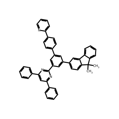 CC1(C)c2ccccc2-c2cc(-c3cc(-c4ccc(-c5ccccn5)cc4)cc(-c4nc(-c5ccccc5)cc(-c5ccccc5)n4)c3)ccc21